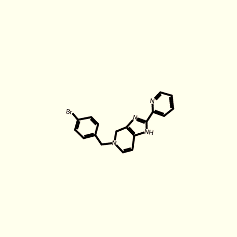 Brc1ccc(CN2C=Cc3[nH]c(-c4ccccn4)nc3C2)cc1